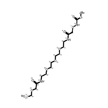 CC(C)(C)OC(=O)NOCC(=O)NCCOCCOCCOCCNC(=O)COCC(=O)O